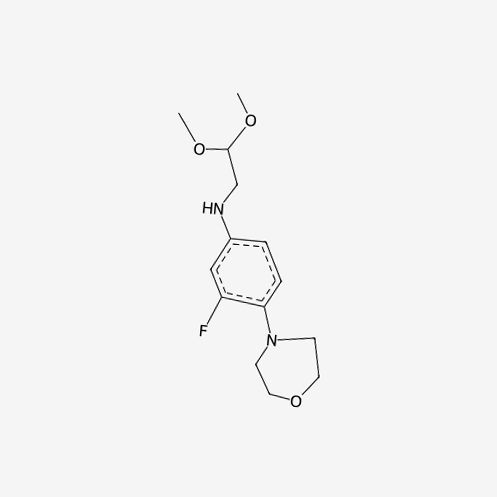 COC(CNc1ccc(N2CCOCC2)c(F)c1)OC